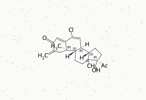 C=C1C[C@@]2(C)C(=CC1=O)C(Cl)=C[C@@H]1[C@@H]2CC[C@@]2(C)[C@H]1CC[C@]2(O)C(C)=O